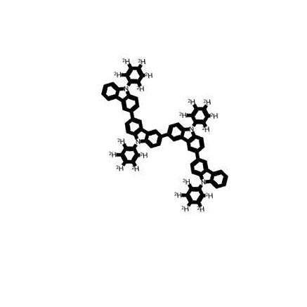 [2H]c1c([2H])c([2H])c(-n2c3ccccc3c3cc(-c4ccc5c(c4)c4cc(-c6ccc7c(c6)c6cc(-c8ccc9c(c8)c8ccccc8n9-c8c([2H])c([2H])c([2H])c([2H])c8[2H])ccc6n7-c6c([2H])c([2H])c([2H])c([2H])c6[2H])ccc4n5-c4c([2H])c([2H])c([2H])c([2H])c4[2H])ccc32)c([2H])c1[2H]